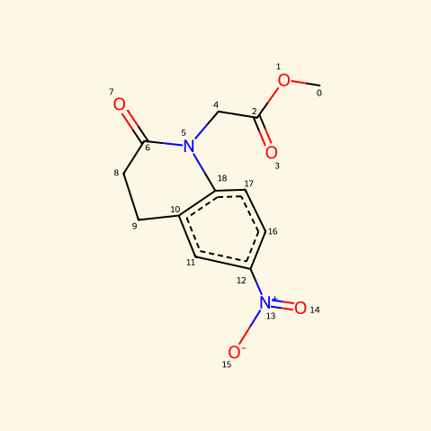 COC(=O)CN1C(=O)CCc2cc([N+](=O)[O-])ccc21